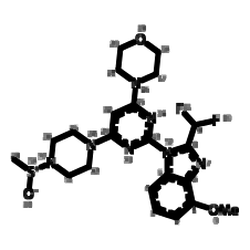 COc1cccc2c1nc(C(F)F)n2-c1nc(N2CCOCC2)cc(N2CCN([S+](C)[O-])CC2)n1